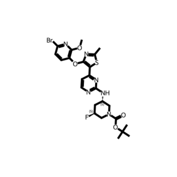 COc1nc(Br)ccc1Oc1nc(C)sc1-c1ccnc(N[C@H]2C[C@H](F)CN(C(=O)OC(C)(C)C)C2)n1